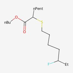 CCCCCC(SCCCCC(F)CC)C(=O)OCCCC